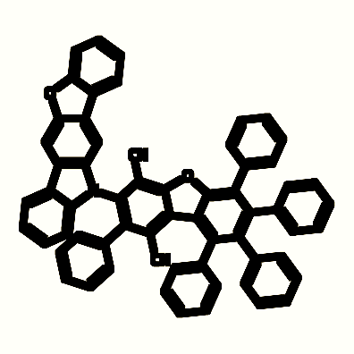 N#Cc1c(-n2c3ccccc3c3cc4oc5ccccc5c4cc32)c(-c2ccccc2)c(C#N)c2c1oc1c(-c3ccccc3)c(-c3ccccc3)c(-c3ccccc3)c(-c3ccccc3)c12